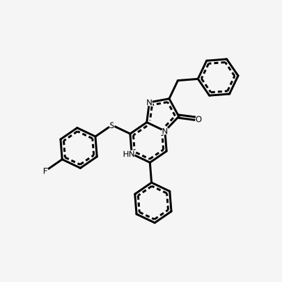 O=c1c(Cc2ccccc2)nc2c(Sc3ccc(F)cc3)[nH]c(-c3ccccc3)cn1-2